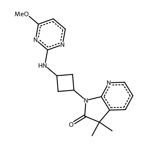 COc1ccnc(NC2CC(N3C(=O)C(C)(C)c4cccnc43)C2)n1